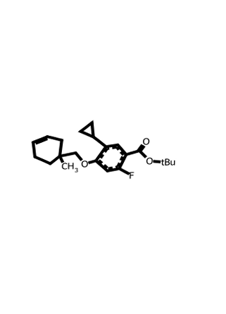 CC1(COc2cc(F)c(C(=O)OC(C)(C)C)cc2C2CC2)CC=CCC1